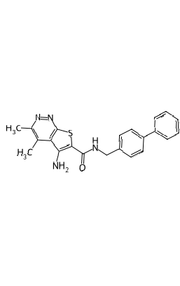 Cc1nnc2sc(C(=O)NCc3ccc(-c4ccccc4)cc3)c(N)c2c1C